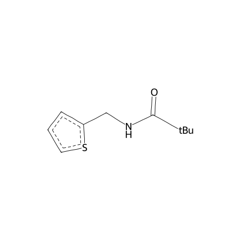 CC(C)(C)C(=O)NCc1cccs1